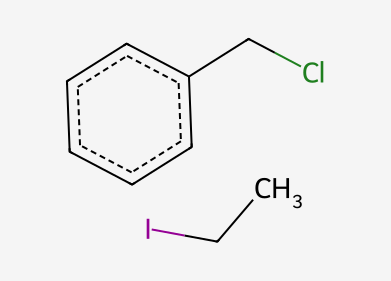 CCI.ClCc1ccccc1